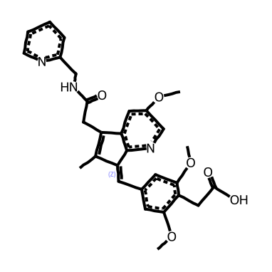 COc1cnc2c(c1)C(CC(=O)NCc1ccccn1)=C(C)/C2=C/c1cc(OC)c(CC(=O)O)c(OC)c1